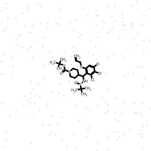 C=CCOc1cc(Cl)c(Cl)c(Cl)c1C(N[S+]([O-])C(C)(C)C)C1CCN(C(=O)OC(C)(C)C)CC1